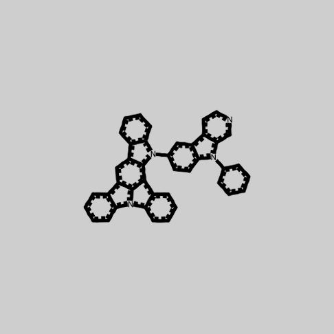 c1ccc(-n2c3ccc(-n4c5ccccc5c5cc6c7ccccc7n7c8ccccc8c(c54)c67)cc3c3ccncc32)cc1